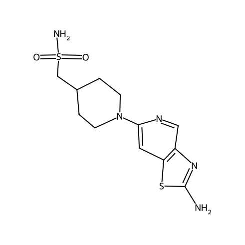 Nc1nc2cnc(N3CCC(CS(N)(=O)=O)CC3)cc2s1